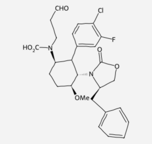 CO[C@H]1CC[C@@H](N(CCC=O)C(=O)O)C(c2ccc(Cl)c(F)c2)[C@@H]1N1C(=O)OC[C@H]1Cc1ccccc1